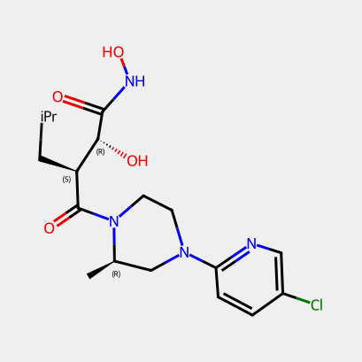 CC(C)C[C@H](C(=O)N1CCN(c2ccc(Cl)cn2)C[C@H]1C)[C@@H](O)C(=O)NO